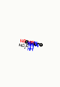 O=C(Nc1cnc(Cc2ccccc2)nc1O)N[C@H](Nc1ccc(O)cc1)C(=O)O